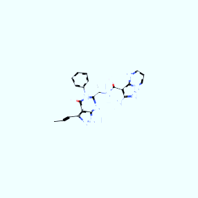 CC#Cc1n[nH]c2nc([C@@H](C)NC(=O)c3c(N)nn4cccnc34)n(-c3ccccc3)c(=O)c12